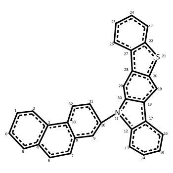 c1ccc2c(c1)ccc1cc(-n3c4ccccc4c4cc5sc6ccccc6c5cc43)ccc12